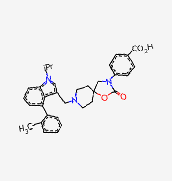 Cc1ccccc1-c1cccc2c1c(CN1CCC3(CC1)CN(c1ccc(C(=O)O)cc1)C(=O)O3)cn2C(C)C